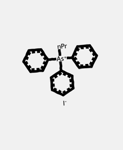 CCC[As+](c1ccccc1)(c1ccccc1)c1ccccc1.[I-]